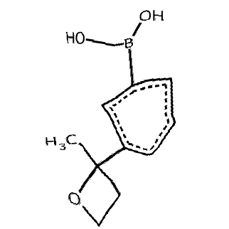 CC1(c2cccc(B(O)O)c2)CCO1